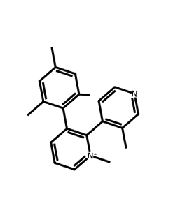 Cc1cc(C)c(-c2ccc[n+](C)c2-c2ccncc2C)c(C)c1